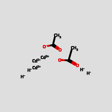 CC(=O)[O-].CC(=O)[O-].[Cd+2].[Cd+2].[Cd+2].[H-].[H-].[H-].[H-]